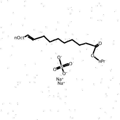 CCCCCCCCC=CCCCCCCCC(=O)OCCC.O=S(=O)([O-])[O-].[Na+].[Na+]